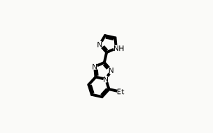 CCc1cccc2nc(-c3ncc[nH]3)nn12